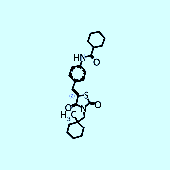 CC1(CN2C(=O)S/C(=C\c3ccc(NC(=O)C4CCCCC4)cc3)C2=O)CCCCC1